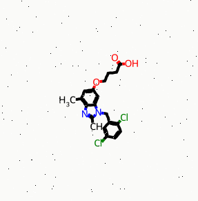 Cc1cc(OCCCC(=O)O)cc2c1nc(C)n2Cc1cc(Cl)ccc1Cl